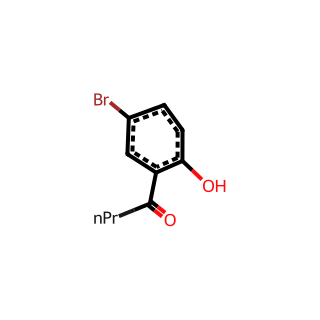 CCCC(=O)c1cc(Br)ccc1O